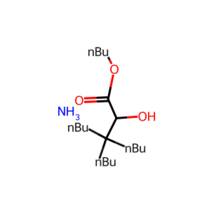 CCCCOC(=O)C(O)C(CCCC)(CCCC)CCCC.N